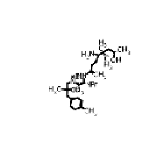 C=C(CCC(N)C(C)(C)C[C@H](C)O)N[C@H](C(C)C)C(O)N(CCCC)CC(C)(C)CC1CC=C(C)CC1